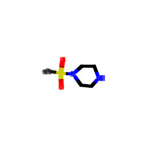 CC[CH]S(=O)(=O)N1CCNCC1